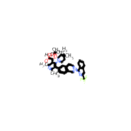 Cc1nc(C)c([C@H](OC(C)(C)C)C(=O)O)c(N2CCC(C)(C)CC2)c1-c1ccc2c(c1)CCN(c1nc(C(F)(F)F)cc3ccccc13)C2